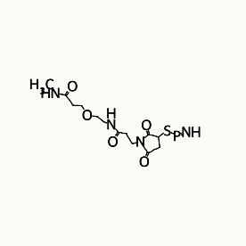 CNC(=O)CCOCCNC(=O)CCN1C(=O)CC(SP=N)C1=O